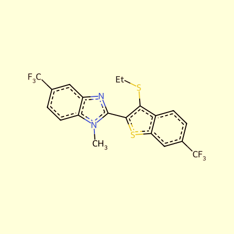 CCSc1c(-c2nc3cc(C(F)(F)F)ccc3n2C)sc2cc(C(F)(F)F)ccc12